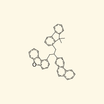 CC1(C)c2ccccc2-c2cccc(CC(Cc3cccc4oc5ccccc5c34)c3ccc4c(ccc5ccccc54)c3)c21